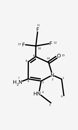 CCn1c(NC)c(N)cc(C(F)(F)F)c1=O